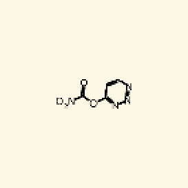 O=C(Oc1ccnnn1)[N+](=O)[O-]